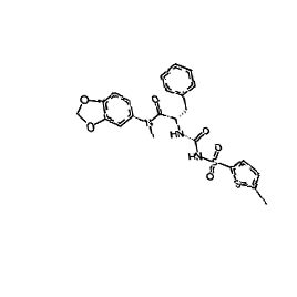 Cc1ccc(S(=O)(=O)NC(=O)N[C@@H](Cc2ccccc2)C(=O)N(C)c2ccc3c(c2)OCO3)s1